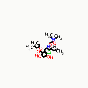 CCC/C(C)=C/C(Cc1c(Cl)c(O)cc(O)c1C(=O)OC(CC)CCC)=N\OCC(=O)N(CC)CC